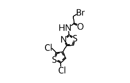 O=C(CBr)Nc1nc(-c2cc(Cl)sc2Cl)cs1